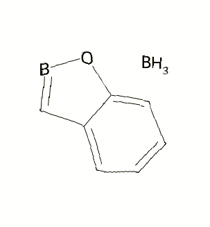 B.b1cc2ccccc2o1